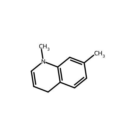 Cc1ccc2c(c1)N(C)C=CC2